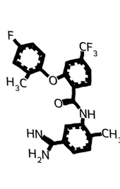 Cc1ccc(C(=N)N)cc1NC(=O)c1ccc(C(F)(F)F)cc1Oc1ccc(F)cc1C